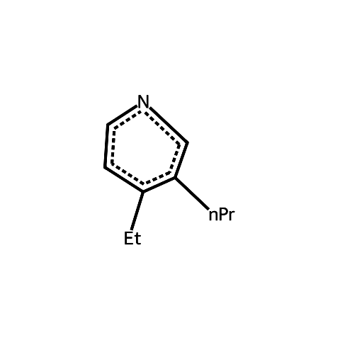 [CH2]Cc1ccncc1CCC